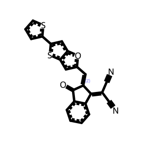 N#CC(C#N)=C1/C(=C/c2cc3sc(-c4cccs4)cc3o2)C(=O)c2ccccc21